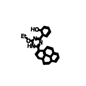 CCOC1N=C(C2C=CC=CC2O)N=C(C2=CCC3C=CC4C=CC=C5C=CC2=C3C54)N1